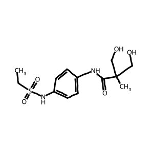 CCS(=O)(=O)Nc1ccc(NC(=O)C(C)(CO)CO)cc1